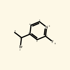 CC(Br)c1ccnc(F)c1